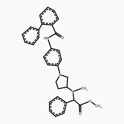 COC(=O)C(c1ccccc1)N(C)C1CCN(c2ccc(NC(=O)c3ccccc3-c3ccccc3)cc2)C1